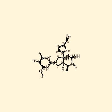 C=C1[C@@H]2CN(c3nc(C)c(F)c(OC)n3)C[C@]2(c2ccc(C#N)s2)NC(=N)N1C